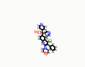 Cn1cncc1C(O)(c1ccncc1)c1ccc2nc(N3CCOCC3)c(-c3ccccc3)c(Cl)c2c1